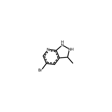 CC1NNc2ncc(Br)cc21